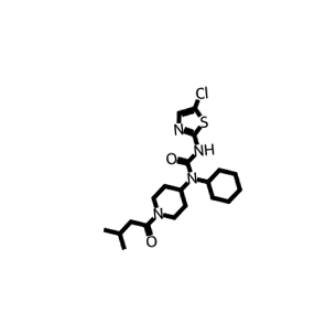 CC(C)CC(=O)N1CCC(N(C(=O)Nc2ncc(Cl)s2)C2CCCCC2)CC1